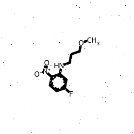 COCCCNc1cc(F)ccc1[N+](=O)[O-]